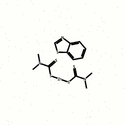 CN(C)C(=S)[S][Zn][S]C(=S)N(C)C.c1ccc2scnc2c1